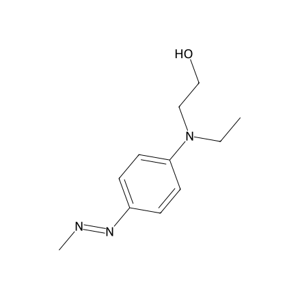 CCN(CCO)c1ccc(N=NC)cc1